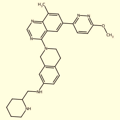 COc1ccc(-c2cc(C)c3ncnc(N4CCc5ccc(NCC6CCCCN6)cc5C4)c3c2)nn1